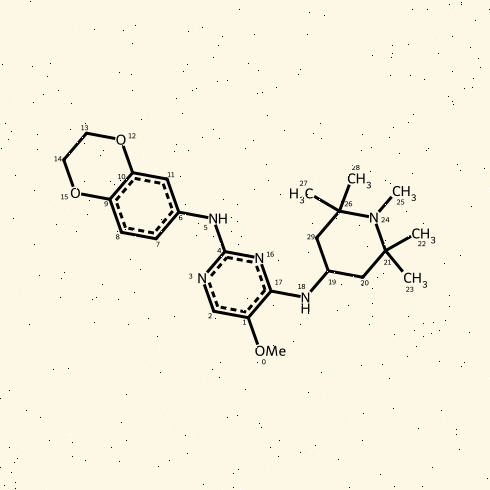 COc1cnc(Nc2ccc3c(c2)OCCO3)nc1NC1CC(C)(C)N(C)C(C)(C)C1